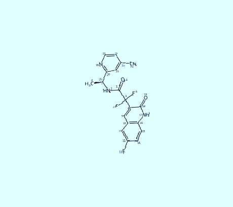 C[C@H](NC(=O)C(F)(F)c1cc2cc(F)ccc2[nH]c1=O)c1cc(C#N)ccn1